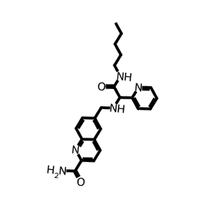 CCCCCNC(=O)C(NCc1ccc2nc(C(N)=O)ccc2c1)c1ccccn1